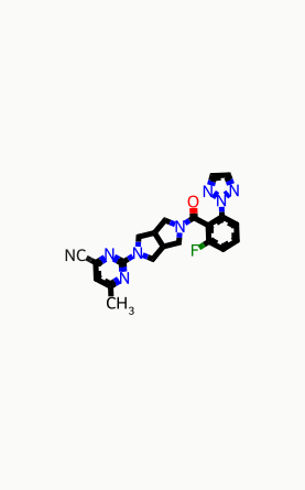 Cc1cc(C#N)nc(N2CC3CN(C(=O)c4c(F)cccc4-n4nccn4)CC3C2)n1